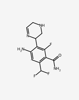 NC(=O)c1c(C(F)F)[c]c(N)c(C2CNCC=N2)c1F